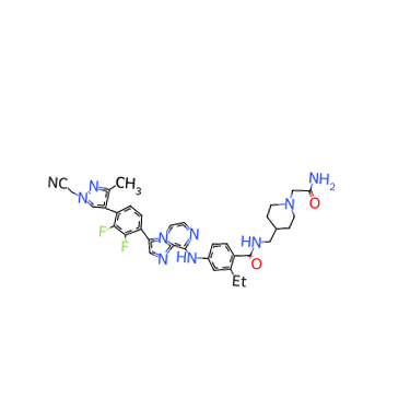 CCc1cc(Nc2nccn3c(-c4ccc(-c5cn(CC#N)nc5C)c(F)c4F)cnc23)ccc1C(=O)NCC1CCN(CC(N)=O)CC1